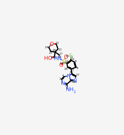 Nc1nccn2c(-c3ccc(F)c(S(=O)(=O)NCC4(CO)CCOCC4)c3)cnc12